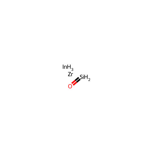 O=[SiH2].[InH3].[Zr]